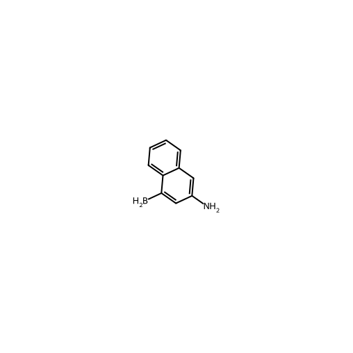 Bc1cc(N)cc2ccccc12